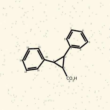 O=C(O)C1C(c2ccccc2)C1c1ccccc1